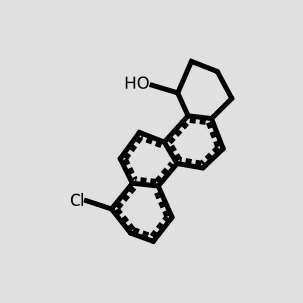 OC1CCCc2ccc3c(ccc4c(Cl)cccc43)c21